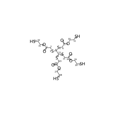 O=C(CSC(SCC(=O)OCCS)C(SCC(=O)OCCS)SCC(=O)OCCS)OCCS